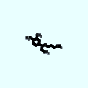 CCCCON(CC)c1ccc(N)c(C)c1